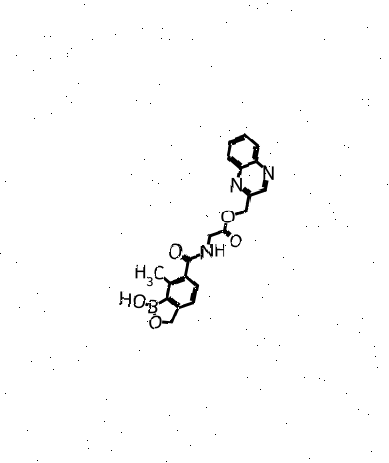 Cc1c(C(=O)NCC(=O)OCc2cnc3ccccc3n2)ccc2c1B(O)OC2